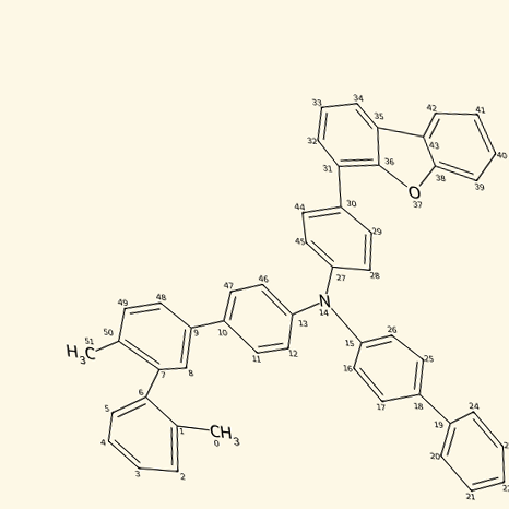 Cc1ccccc1-c1cc(-c2ccc(N(c3ccc(-c4ccccc4)cc3)c3ccc(-c4cccc5c4oc4ccccc45)cc3)cc2)ccc1C